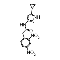 O=C(Cc1ccc([N+](=O)[O-])cc1[N+](=O)[O-])Nc1cc(C2CC2)[nH]n1